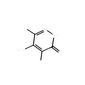 Nc1c(Br)n[nH]c(=O)c1Cl